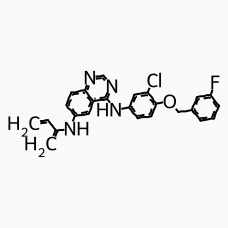 C=CC(=C)Nc1ccc2ncnc(Nc3ccc(OCc4cccc(F)c4)c(Cl)c3)c2c1